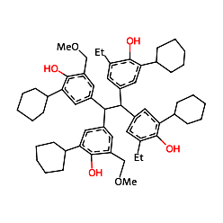 CCc1cc(C(c2cc(CC)c(O)c(C3CCCCC3)c2)C(c2cc(COC)c(O)c(C3CCCCC3)c2)c2cc(COC)c(O)c(C3CCCCC3)c2)cc(C2CCCCC2)c1O